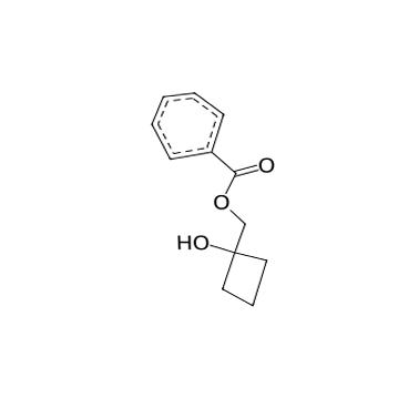 O=C(OCC1(O)CCC1)c1ccccc1